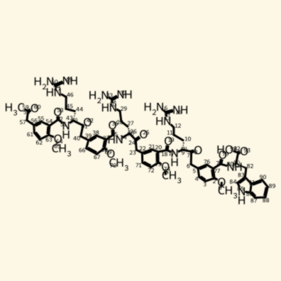 COc1ccc(CC(=O)[C@@H](CCCNC(=N)N)NC(=O)c2cc(CC(=O)[C@@H](CCCNC(=N)N)NC(=O)c3cc(CC(=O)[C@@H](CCCNC(=N)N)NC(=O)c4cc(CC(C)=O)ccc4OC)ccc3OC)ccc2OC)cc1C(=O)N[C@H](Cc1c[nH]c2ccccc12)C(=O)O